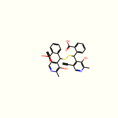 C#Cc1cnc(C)c(O)c1C(SSC(c1ccccc1C(=O)O)c1c(C#C)cnc(C)c1O)c1ccccc1C(=O)O